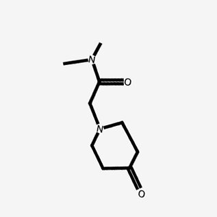 CN(C)C(=O)CN1CCC(=O)CC1